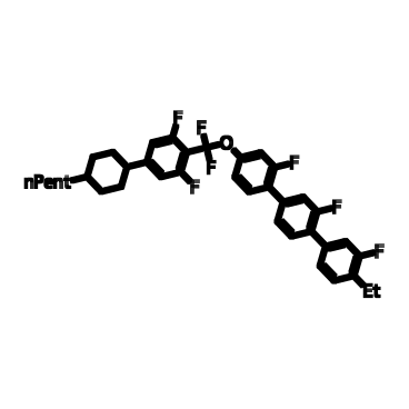 CCCCCC1CCC(c2cc(F)c(C(F)(F)Oc3ccc(-c4ccc(-c5ccc(CC)c(F)c5)c(F)c4)c(F)c3)c(F)c2)CC1